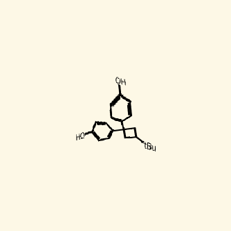 CC(C)(C)C1CC(c2ccc(O)cc2)(c2ccc(O)cc2)C1